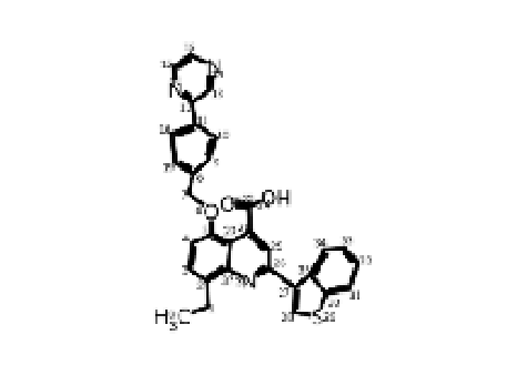 CCc1ccc(OCc2ccc(-c3cnccn3)cc2)c2c(C(=O)O)cc(-c3csc4ccccc34)nc12